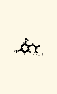 CC(CO)Cc1c(F)cc(F)cc1F